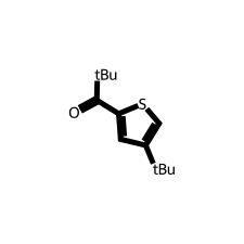 CC(C)(C)C(=O)c1cc(C(C)(C)C)cs1